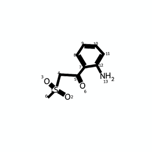 CS(=O)(=O)CC(=O)c1ccccc1N